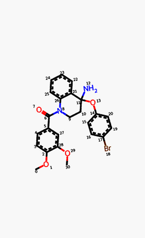 COc1ccc(C(=O)N2CCC(N)(Oc3ccc(Br)cc3)c3ccccc32)cc1OC